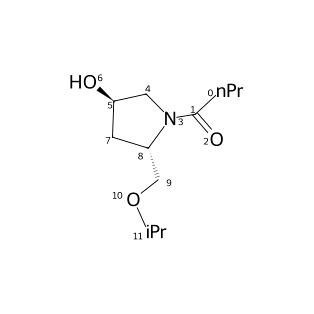 CCCC(=O)N1C[C@H](O)C[C@H]1COC(C)C